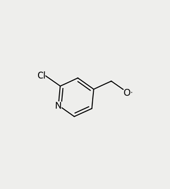 [O]Cc1ccnc(Cl)c1